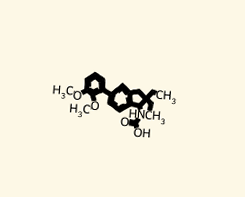 CCC1(CC)Cc2cc(-c3cccc(OC)c3OC)ccc2C1NC(=O)O